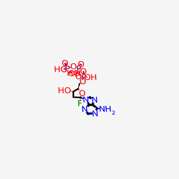 Nc1ncnc2c1ncn2[C@@]1(F)C[C@H](O)[C@@H](COP(=O)(O)OP(=O)(O)OP(=O)(O)O)O1